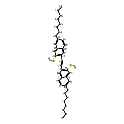 CCCCCCCCc1ccc2cc(C=Cc3cc4ccc(CCCCCCCC)cc4cc3SC)c(SC)cc2c1